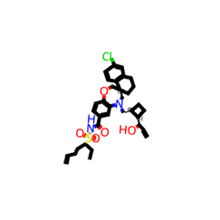 C=CCCC(CC)S(=O)(=O)NC(=O)c1ccc2c(c1)N(C[C@@H]1CC[C@H]1C(O)C=C)C[C@@]1(CCCc3cc(Cl)ccc31)CO2